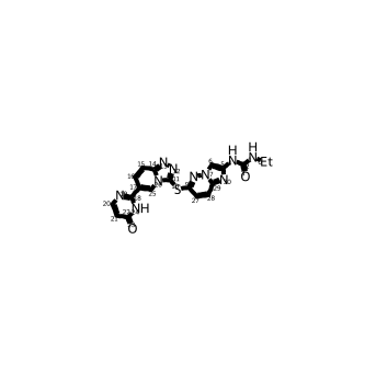 CCNC(=O)Nc1cn2nc(Sc3nnc4ccc(-c5nccc(=O)[nH]5)cn34)ccc2n1